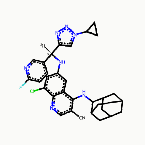 [2H][C@](Nc1cc(Cl)c2ncc(C#N)c(NC3C4CC5CC(C4)CC3C5)c2c1)(c1ccc(F)nc1)c1cn(C2CC2)nn1